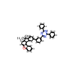 CC1(C)c2ccc(-c3cccc(-c4nc(-c5ccccc5)nc(-c5ccccc5)n4)c3)cc2-c2c1ccc1oc3ccccc3c21